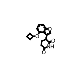 O=C1CCC(c2coc3cccc(OC4CCC4)c23)C(=O)N1